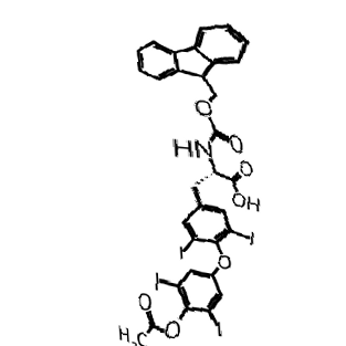 CC(=O)Oc1c(I)cc(Oc2c(I)cc(C[C@H](NC(=O)OCC3c4ccccc4-c4ccccc43)C(=O)O)cc2I)cc1I